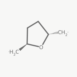 [CH2][C@H]1CC[C@H]([CH2])O1